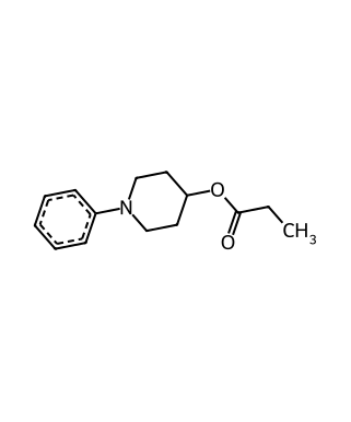 CCC(=O)OC1CCN(c2ccccc2)CC1